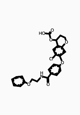 O=C(O)OC1CCOc2cc(Oc3ccc(C(=O)NCCOc4ccccc4)cc3)c(Cl)cc21